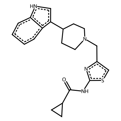 O=C(Nc1nc(CN2CCC(c3c[nH]c4ccccc34)CC2)cs1)C1CC1